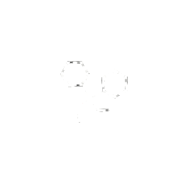 C=C[Si](O[SiH3])(c1ccccc1)c1ccccc1